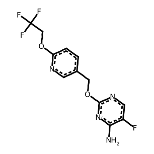 Nc1nc(OCc2ccc(OCC(F)(F)F)nc2)ncc1F